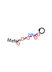 CNC(=O)CCOCCOCCNC(=O)COC1C#CCCCCC1